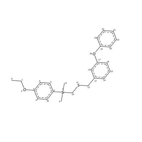 CCOc1ccc([Si](C)(C)CSCc2cccc(Oc3ccccc3)c2)cc1